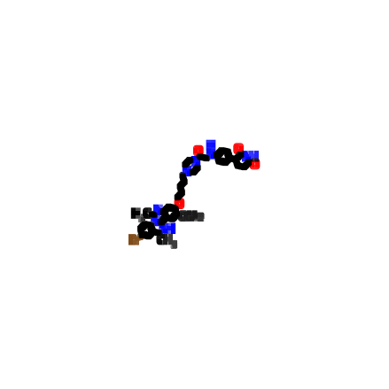 COc1cc2c(N[C@H](C)c3cccc(Br)c3)nc(C)nc2cc1OCCCCCN1CCN(C(=O)CNc2ccc(C3CCC(=O)NC3=O)cc2)CC1